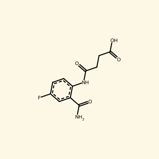 NC(=O)c1cc(F)ccc1NC(=O)CCC(=O)O